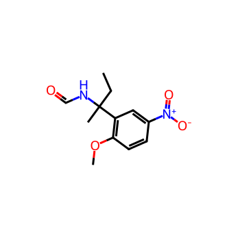 CCC(C)(NC=O)c1cc([N+](=O)[O-])ccc1OC